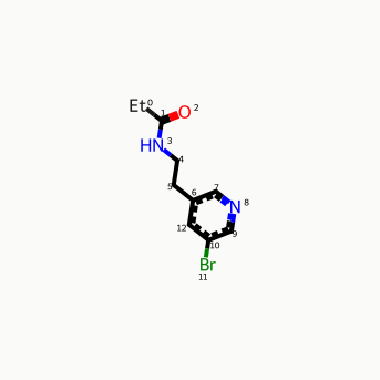 CCC(=O)NCCc1cncc(Br)c1